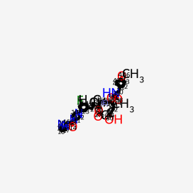 C=C(Cc1cc(F)cc(N2CCN(C(=O)Cn3cccn3)CC2)c1)[C@@H]1OC(=O)C[C@@H](O)CC[C@H](C)[C@@H](OC(=O)NCc2ccc(OC)cc2)/C=C/[C@H]1C